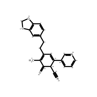 [CH2]C1=C(CCc2ccc3c(c2)OCO3)C=C(c2cccnc2)C(C#N)C1=O